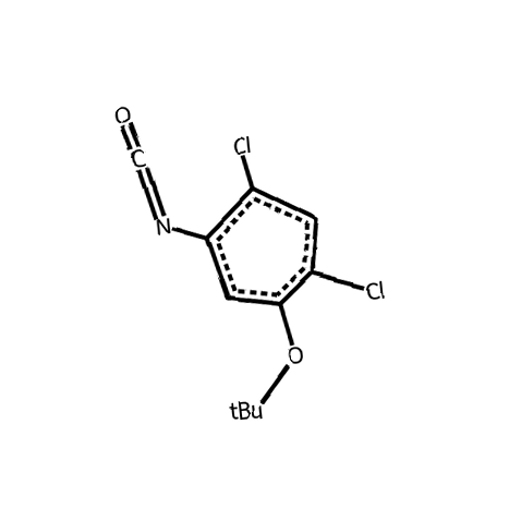 CC(C)(C)Oc1cc(N=C=O)c(Cl)cc1Cl